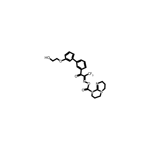 O=C(/C(=N/OC(=O)N1CCCN2CCCN=C21)C(F)(F)F)c1cccc(-c2cccc(OCCO)c2)c1